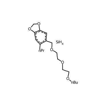 CCCCOCCOCCOCc1cc2c(cc1CCC)OCO2.[SiH4]